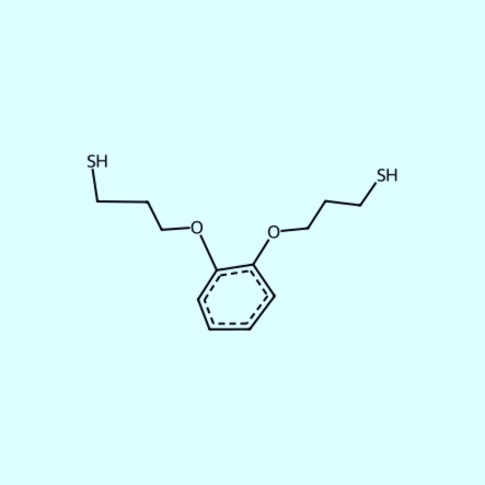 SCCCOc1ccccc1OCCCS